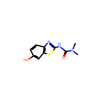 CN(C)C(=O)Nc1nc2ccc(O)cc2s1